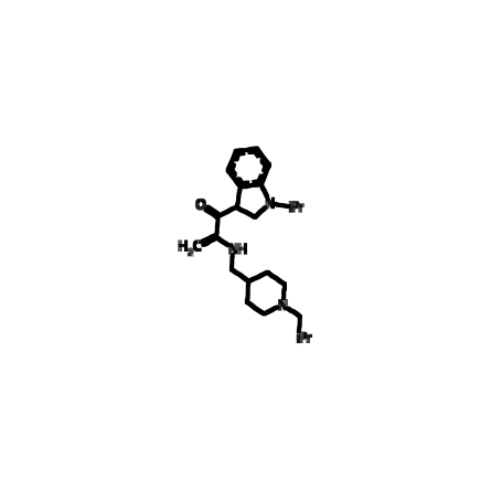 C=C(NCC1CCN(CC(C)C)CC1)C(=O)C1CN(C(C)C)c2ccccc21